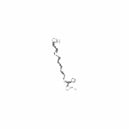 CC(=O)SCCCCCOCCO